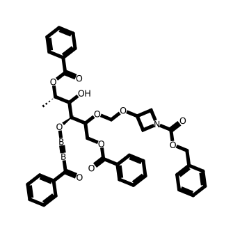 C[C@H](OC(=O)c1ccccc1)C(O)[C@H](OB=BC(=O)c1ccccc1)C(COC(=O)c1ccccc1)OCOC1CN(C(=O)OCc2ccccc2)C1